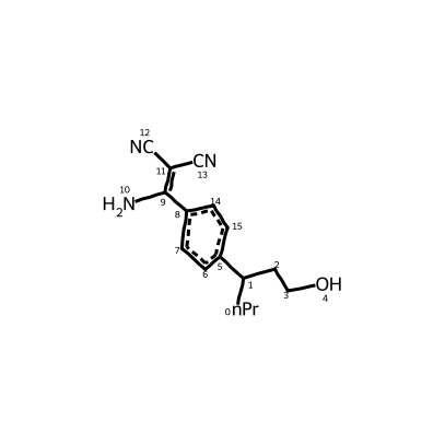 CCCC(CCO)c1ccc(C(N)=C(C#N)C#N)cc1